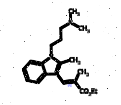 CCOC(=O)/C(C)=C/c1c(C)n(CCCN(C)C)c2ccccc12